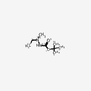 CCN(C)NC(=O)OC(C)(C)C